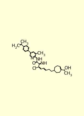 C=C(C)c1ccc(-c2cnc(NC(=O)C(=N)/C(Cl)=C\C=C\CCC3CCC=C(C(C)O)CC3)c(C)c2)cc1